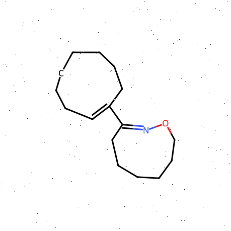 C1=C(/C2=N\OCCCCCC2)CCCCCCC/1